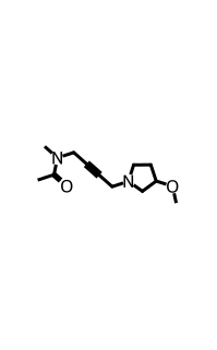 COC1CCN(CC#CCN(C)C(C)=O)C1